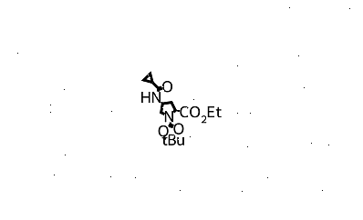 CCOC(=O)[C@@H]1C[C@@H](NC(=O)C2CC2)CN1C(=O)OC(C)(C)C